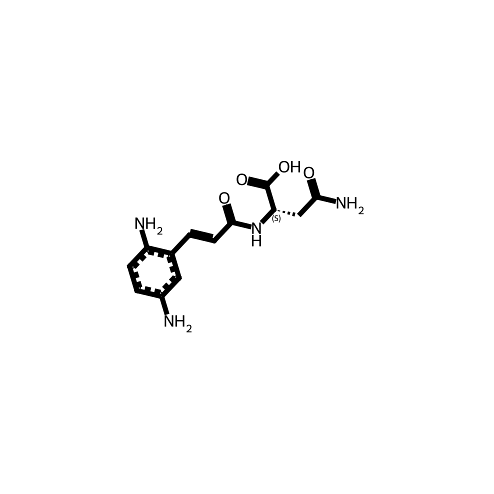 NC(=O)C[C@H](NC(=O)C=Cc1cc(N)ccc1N)C(=O)O